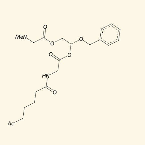 CNCC(=O)OCC(OCc1ccccc1)OC(=O)CNC(=O)CCCCC(C)=O